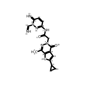 Cc1nn(CC(=O)Nc2ccc(=N)n(C=N)n2)c(=O)c2cc(C3CC3)oc12